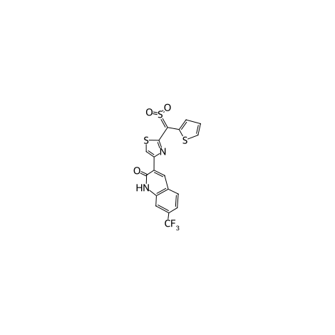 O=c1[nH]c2cc(C(F)(F)F)ccc2cc1-c1csc(C(c2cccs2)=S(=O)=O)n1